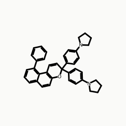 C1=CC(c2ccc(N3CCCC3)cc2)(c2ccc(N3CCCC3)cc2)Oc2ccc3cccc(-c4ccccc4)c3c21